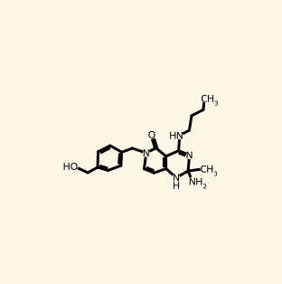 CCCCNC1=NC(C)(N)Nc2ccn(Cc3ccc(CO)cc3)c(=O)c21